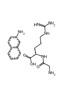 N=C(N)NCCCC(NC(=O)CN)C(=O)O.Nc1ccc2ccccc2c1